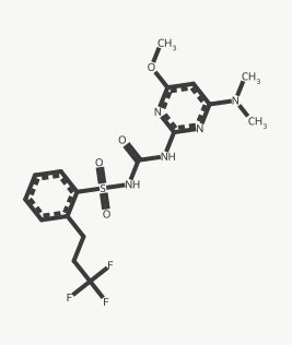 COc1cc(N(C)C)nc(NC(=O)NS(=O)(=O)c2ccccc2CCC(F)(F)F)n1